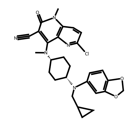 Cn1c(=O)c(C#N)c(N(C)[C@H]2CC[C@@H](N(CC3CC3)c3ccc4c(c3)OCO4)CC2)c2nc(Cl)ccc21